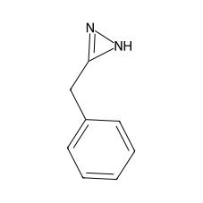 c1ccc(CC2=NN2)cc1